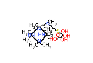 C=Cc1c(C)c2cc3nc(c(C)c4cc(C)c(cc5nc(cc1[nH]2)C(C)=C5CC)[nH]4)[C@@H](CCCN(C)CCCCCS[C@@H]1O[C@H](CO)[C@@H](O)[C@H](O)[C@H]1O)[C@@H]3C